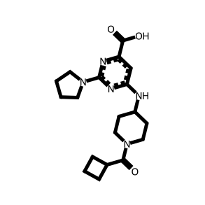 O=C(O)c1cc(NC2CCN(C(=O)C3CCC3)CC2)nc(N2CCCC2)n1